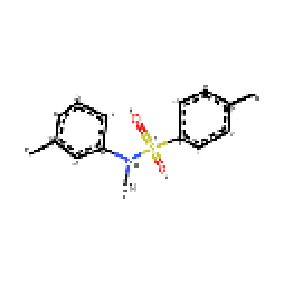 Cc1ccc(S(=O)(=O)N(C#N)c2cccc(C)c2)cc1